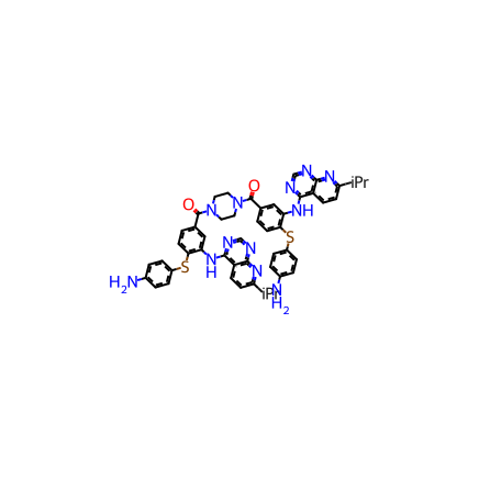 CC(C)c1ccc2c(Nc3cc(C(=O)N4CCN(C(=O)c5ccc(Sc6ccc(N)cc6)c(Nc6ncnc7nc(C(C)C)ccc67)c5)CC4)ccc3Sc3ccc(N)cc3)ncnc2n1